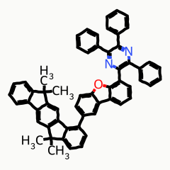 CC1(C)c2ccccc2-c2cc3c(cc21)-c1c(-c2ccc4oc5c(-c6nc(-c7ccccc7)c(-c7ccccc7)nc6-c6ccccc6)cccc5c4c2)cccc1C3(C)C